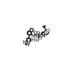 O=C(Nc1c(-c2ccn3ncnc3c2)ccc2c1CCC2)NS(=O)(=O)c1cc2n(n1)CCOC2C1CC1